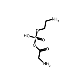 NCCOP(=O)(O)OC(=O)CN